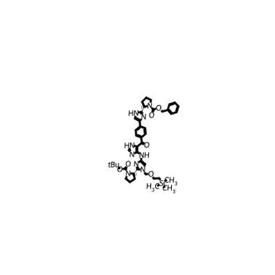 CC(C)(C)OC(=O)N1CCC[C@H]1c1nc(Nc2nc[nH]c2C(=O)c2ccc(-c3c[nH]c([C@@H]4CCCN4C(=O)OCc4ccccc4)n3)cc2)cn1COCC[Si](C)(C)C